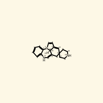 C1=CN2c3ccccc3NC=C3CC4(C=C1[C@@H]32)CCNCC4